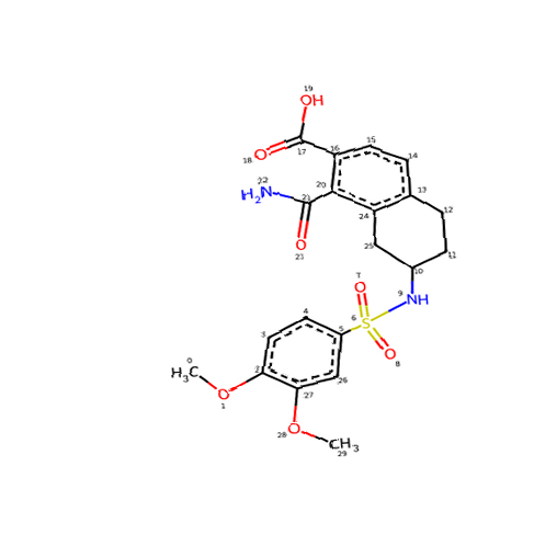 COc1ccc(S(=O)(=O)NC2CCc3ccc(C(=O)O)c(C(N)=O)c3C2)cc1OC